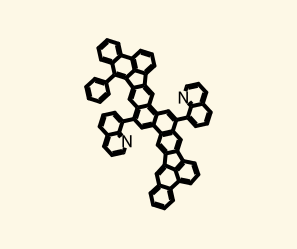 c1ccc(-c2c3c4c(cccc4c4ccccc24)-c2cc4c(cc2-3)c(-c2cccc3cccnc23)cc2c3cc5c(cc3c(-c3cccc6cccnc36)cc42)-c2cccc3c2c-5cc2ccccc23)cc1